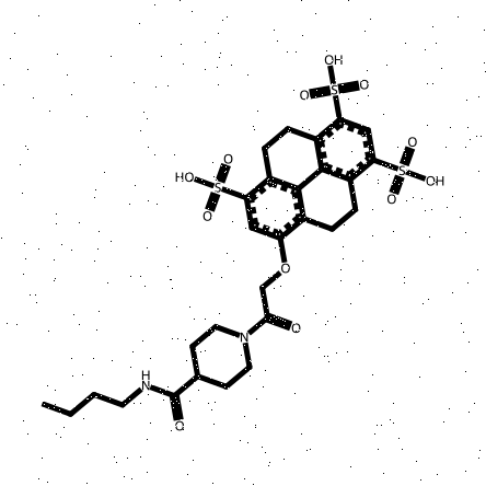 CCCCNC(=O)C1CCN(C(=O)COc2cc(S(=O)(=O)O)c3c4c2CCc2c(S(=O)(=O)O)cc(S(=O)(=O)O)c(c2-4)CC3)CC1